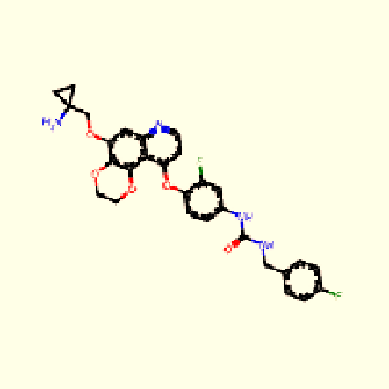 NC1(COc2cc3nccc(Oc4ccc(NC(=O)NCc5ccc(F)cc5)cc4F)c3c3c2OCCO3)CC1